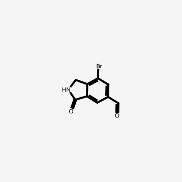 O=Cc1cc(Br)c2c(c1)C(=O)NC2